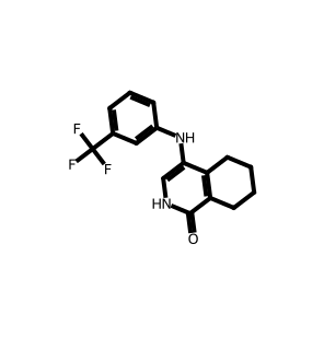 O=c1[nH]cc(Nc2cccc(C(F)(F)F)c2)c2c1CCCC2